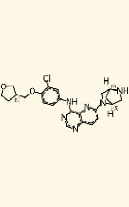 Clc1cc(Nc2ncnc3ccc(N4C[C@@H]5C[C@H]4CN5)nc23)ccc1OC[C@H]1CCOC1